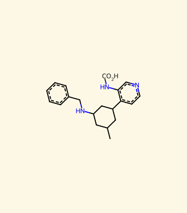 CC1CC(NCc2ccccc2)CC(c2ccncc2NC(=O)O)C1